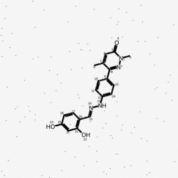 Cc1cc(=O)n(C)nc1-c1ccc(NN=Cc2ccc(O)cc2O)cc1